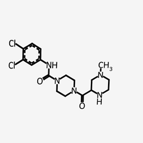 CN1CCNC(C(=O)N2CCN(C(=O)Nc3ccc(Cl)c(Cl)c3)CC2)C1